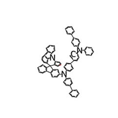 c1ccc(-c2ccc(N(c3ccccc3)c3ccc(-c4ccc(N(c5ccc(-c6ccccc6)cc5)c5ccc6c(c5)C5(c7ccccc7-6)c6ccccc6-n6c7ccccc7c7cccc5c76)cc4)cc3)cc2)cc1